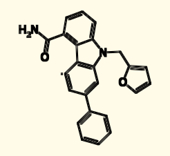 NC(=O)c1cccc2c1c1[c]cc(-c3ccccc3)cc1n2Cc1ccco1